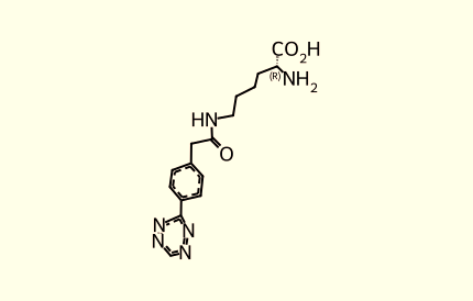 N[C@H](CCCCNC(=O)Cc1ccc(-c2nncnn2)cc1)C(=O)O